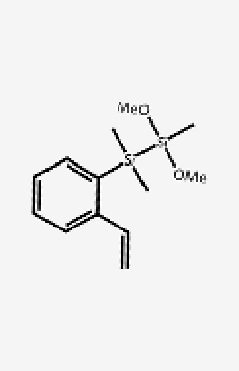 C=Cc1ccccc1[Si](C)(C)[Si](C)(OC)OC